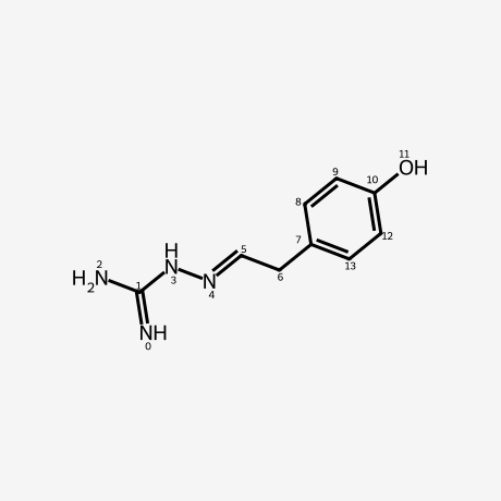 N=C(N)NN=CCc1ccc(O)cc1